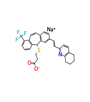 O=C([O-])CCSC1c2cc(C=Cc3ccc4c(n3)CCCC4)ccc2C=Cc2c1cccc2C(F)(F)F.[Na+]